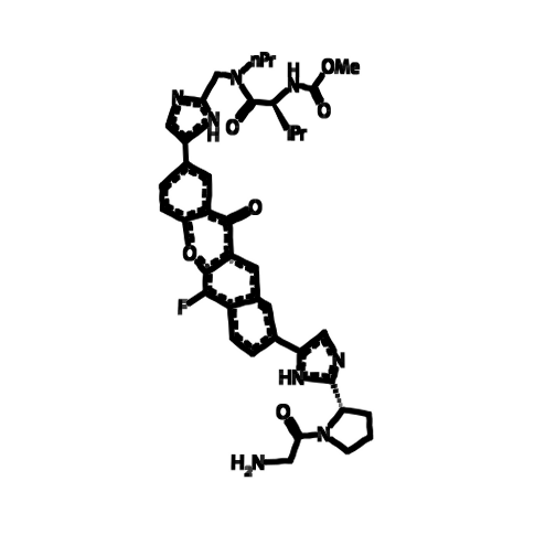 CCCN(Cc1ncc(-c2ccc3oc4c(F)c5ccc(-c6cnc([C@@H]7CCCN7C(=O)CN)[nH]6)cc5cc4c(=O)c3c2)[nH]1)C(=O)[C@@H](NC(=O)OC)C(C)C